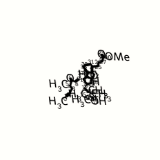 CC#CC[C@H](C)C(=O)/C=C/[C@H]1[C@H](CC(C)(C)[Si](C)(C)O)C[C@@H]2Oc3c(CCCC(=O)OC)cccc3[C@H]12